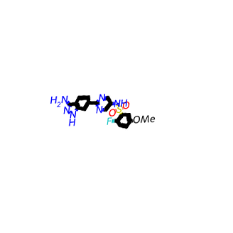 COc1ccc(F)c(S(=O)(=O)Nc2cnc(-c3ccc4c(N)n[nH]c4c3)nc2)c1